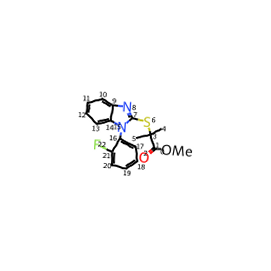 COC(=O)C(C)(C)Sc1nc2ccccc2n1-c1ccccc1F